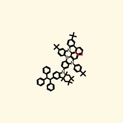 Cc1cc2c3c(c1)N(c1ccc(C(C)(C)C)cc1-c1ccccc1)c1cc(C(C)(C)C)ccc1B3c1ccc(N3c4ccc(C(c5ccccc5)C(c5ccccc5)c5ccccc5)cc4C4(C)CC(C)(C)C(C)(C)CC34C)cc1N2c1ccc(C(C)(C)C)cc1